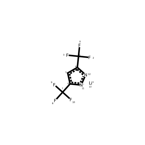 FC(F)(F)c1cc(C(F)(F)F)[n-]n1.[Li+]